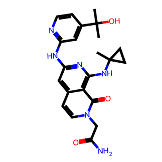 CC1(Nc2nc(Nc3cc(C(C)(C)O)ccn3)cc3ccn(CC(N)=O)c(=O)c23)CC1